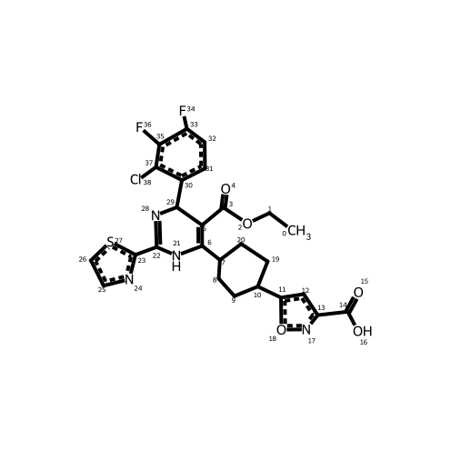 CCOC(=O)C1=C(C2CCC(c3cc(C(=O)O)no3)CC2)NC(c2nccs2)=NC1c1ccc(F)c(F)c1Cl